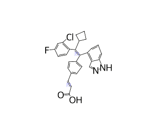 O=C(O)/C=C/c1ccc(/C(=C(\c2ccc(F)cc2Cl)C2CCC2)c2cccc3[nH]ncc23)cc1